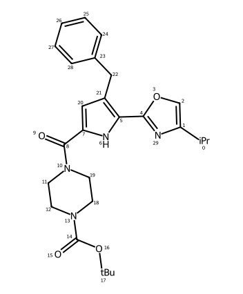 CC(C)c1coc(-c2[nH]c(C(=O)N3CCN(C(=O)OC(C)(C)C)CC3)cc2Cc2ccccc2)n1